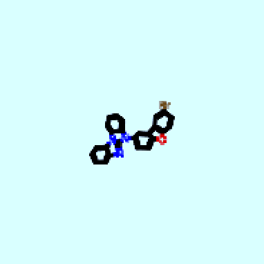 Brc1ccc2oc3ccc(-n4c5ccccc5n5c6ccccc6nc45)cc3c2c1